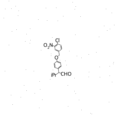 CC(C)C(C=O)c1ccc(OCc2ccc(Cl)c([N+](=O)[O-])c2)cc1